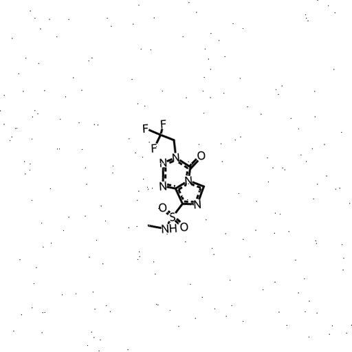 CNS(=O)(=O)c1ncn2c(=O)n(CC(F)(F)F)nnc12